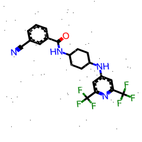 N#Cc1cccc(C(=O)NC2CCC(Nc3cc(C(F)(F)F)nc(C(F)(F)F)c3)CC2)c1